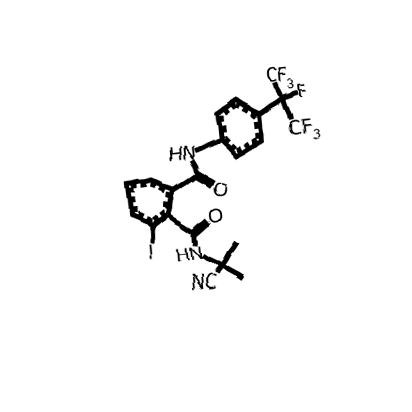 CC(C)(C#N)NC(=O)c1c(I)cccc1C(=O)Nc1ccc(C(F)(C(F)(F)F)C(F)(F)F)cc1